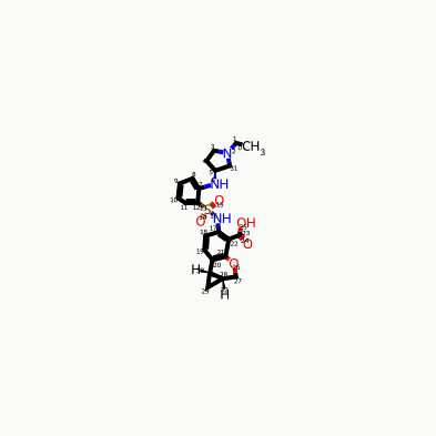 CCN1CC[C@H](Nc2ccccc2S(=O)(=O)Nc2ccc3c(c2C(=O)O)OC[C@@H]2C[C@H]32)C1